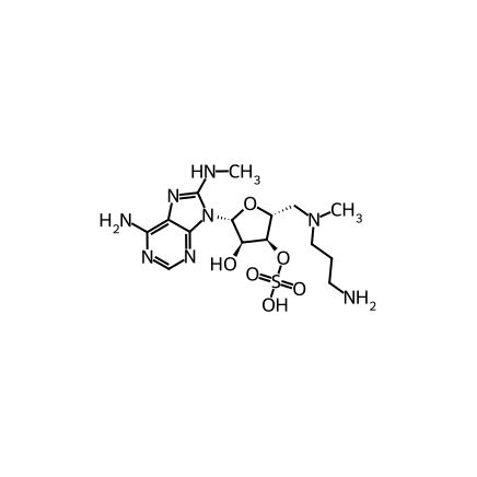 CNc1nc2c(N)ncnc2n1[C@@H]1O[C@H](CN(C)CCCN)[C@@H](OS(=O)(=O)O)[C@H]1O